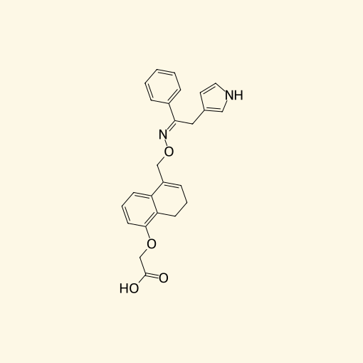 O=C(O)COc1cccc2c1CCC=C2CO/N=C(\Cc1cc[nH]c1)c1ccccc1